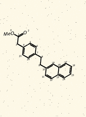 COC(=O)Cc1ccc(CCc2ccc3ccccc3c2)cc1